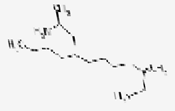 C=C(CN)CCCCC(CCCC)CC(C)N